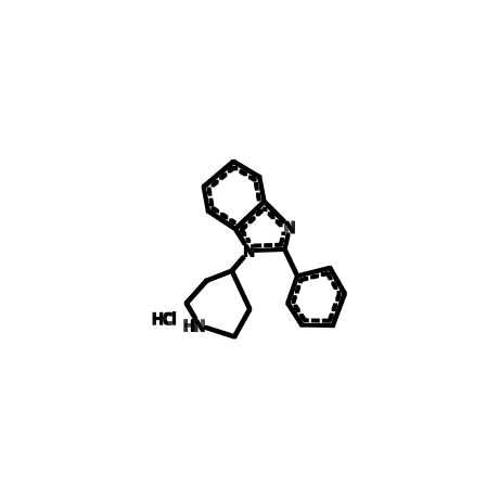 Cl.c1ccc(-c2nc3ccccc3n2C2CCNCC2)cc1